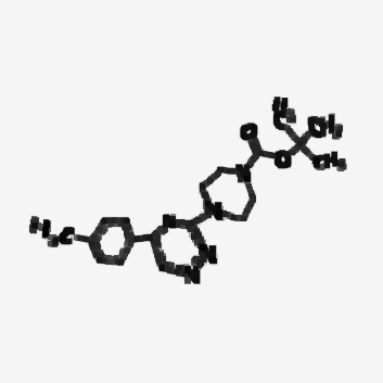 Cc1ccc(-c2cnnc(N3CCN(C(=O)OC(C)(C)C)CC3)n2)cc1